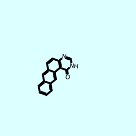 O=c1[nH]cnc2ccc3cc4ccccc4cc3c12